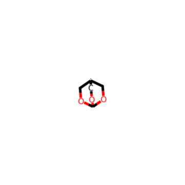 C1OC2OC[C]1CO2